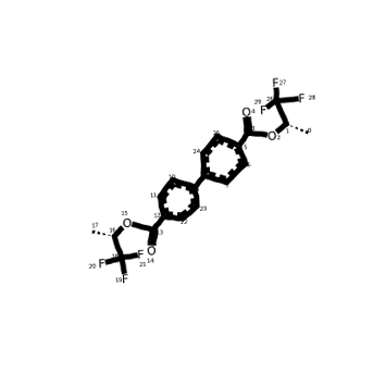 C[C@H](OC(=O)c1ccc(-c2ccc(C(=O)O[C@@H](C)C(F)(F)F)cc2)cc1)C(F)(F)F